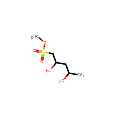 CC(O)CC(O)CS(=O)(=O)OC=O